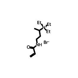 C=CC(=O)NCCC(C)[N+](CC)(CC)CC.[Br-]